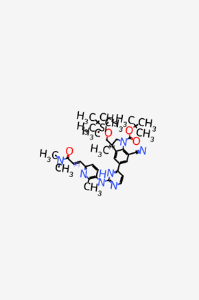 Cc1nc(/C=C/C(=O)N(C)C)ccc1Nc1nccc(-c2cc(C#N)c3c(c2)[C@@](C)(CO[Si](C)(C)C(C)(C)C)CN3C(=O)OC(C)(C)C)n1